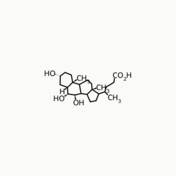 CC(CCC(=O)O)C1CCC2C3C(CC[C@]12C)[C@@]1(C)CC[C@@H](O)C[C@H]1[C@H](O)[C@@H]3O